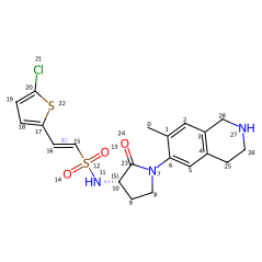 Cc1cc2c(cc1N1CC[C@H](NS(=O)(=O)/C=C/c3ccc(Cl)s3)C1=O)CCNC2